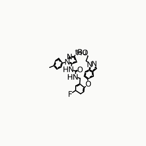 Cc1ccc(-n2nc(C(C)(C)C)cc2NC(=O)NCC2=CC(F)CC=C2Oc2ccc3c(cnn3CCO)c2)cc1